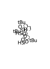 C[SiH](C)OC1C(=O)O[C@@H](C[C@](C)(O[SiH](C)C)[C@H]2CC=CC3=C[C@@H](C(C)(C)C)C[C@H](OC(=O)C(C)(C)C)[C@@H]32)C[C@@H]1C(C)(C)C